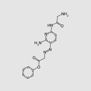 NCC(=O)Nc1ccc(/N=N/CC(=O)Oc2ccccc2)c(N)n1